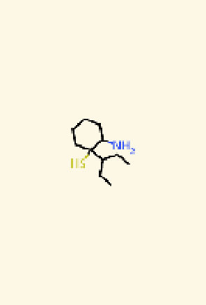 CCC(CC)C1(S)CCCCC1N